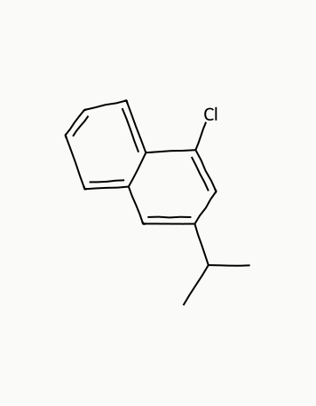 CC(C)c1cc(Cl)c2ccccc2c1